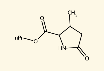 CCCOC(=O)C1NC(=O)CC1C